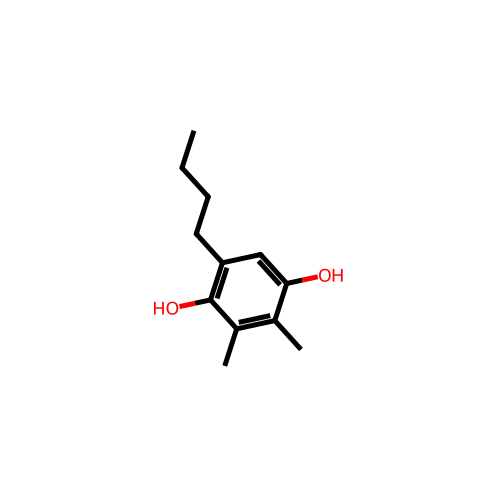 CCCCc1cc(O)c(C)c(C)c1O